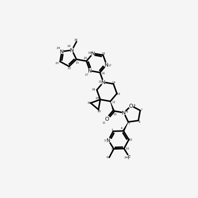 Cc1ncc([C@@H]2CCON2C(=O)[C@@H]2CCN(c3ncnc(-c4ccnn4C)n3)CC23CC3)cc1F